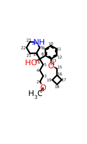 COCCCCC(O)(c1ccccc1OCC1CCC1)C1CCCNC1